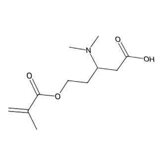 C=C(C)C(=O)OCCC(CC(=O)O)N(C)C